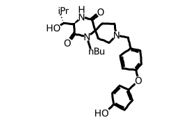 CCCCN1C(=O)[C@@H]([C@H](O)C(C)C)NC(=O)C12CCN(Cc1ccc(Oc3ccc(O)cc3)cc1)CC2